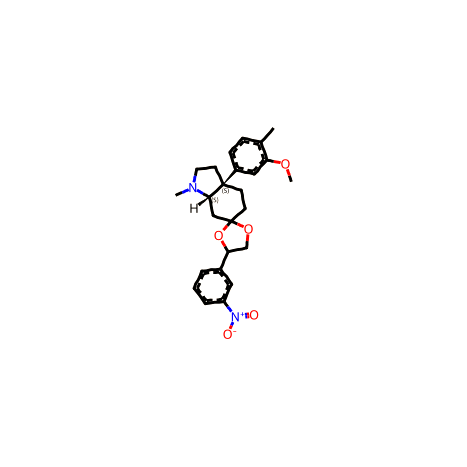 COc1cc([C@]23CCN(C)[C@H]2CC2(CC3)OCC(c3cccc([N+](=O)[O-])c3)O2)ccc1C